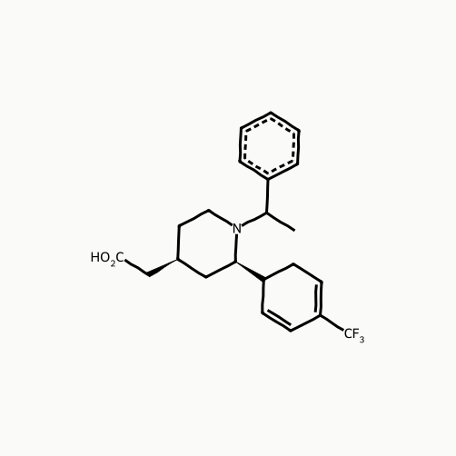 CC(c1ccccc1)N1CC[C@H](CC(=O)O)C[C@@H]1C1C=CC(C(F)(F)F)=CC1